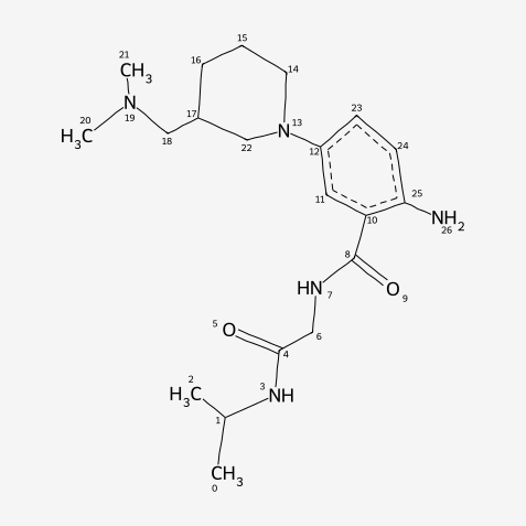 CC(C)NC(=O)CNC(=O)c1cc(N2CCCC(CN(C)C)C2)ccc1N